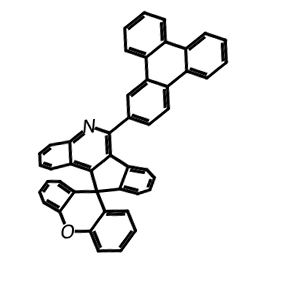 c1ccc2c(c1)Oc1ccccc1C21c2ccccc2-c2c(-c3ccc4c5ccccc5c5ccccc5c4c3)nc3ccccc3c21